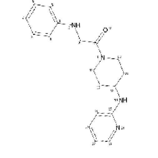 O=C(CNc1ccccc1)N1CCC(Nc2ccccn2)CC1